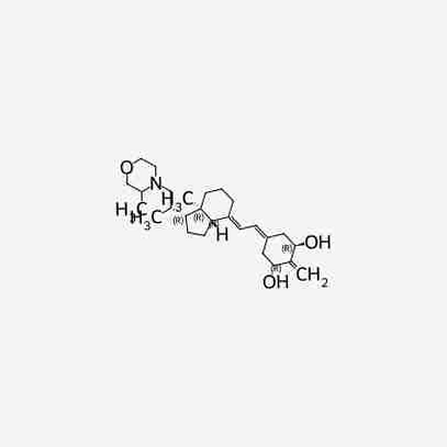 C=C1[C@H](O)CC(=CC=C2CCC[C@]3(C)[C@@H](C(C)CN4CCOCC4C)CC[C@@H]23)C[C@H]1O